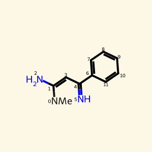 CN/C(N)=C\C(=N)c1ccccc1